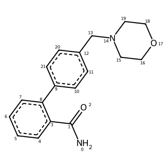 NC(=O)c1ccccc1-c1ccc(CN2CCOCC2)cc1